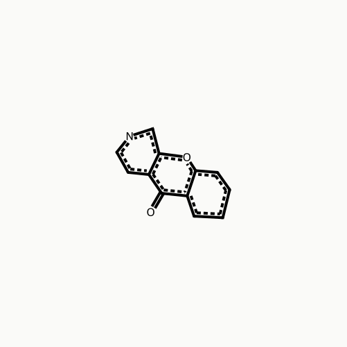 O=c1c2ccccc2oc2cnccc12